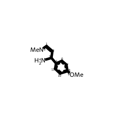 CN/C=C\C(N)c1ccc(OC)cc1